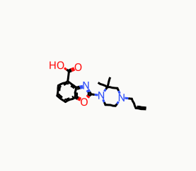 C=CCN1CCN(c2nc3c(C(=O)O)cccc3o2)C(C)(C)C1